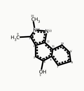 Cc1c2cc(O)c3ccccc3c2nn1C